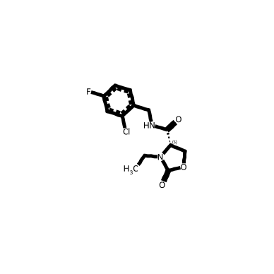 CCN1C(=O)OC[C@H]1C(=O)NCc1ccc(F)cc1Cl